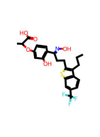 CCCc1c(CCC(=NO)c2ccc(OC(C)C(=O)O)cc2O)sc2cc(C(F)(F)F)ccc12